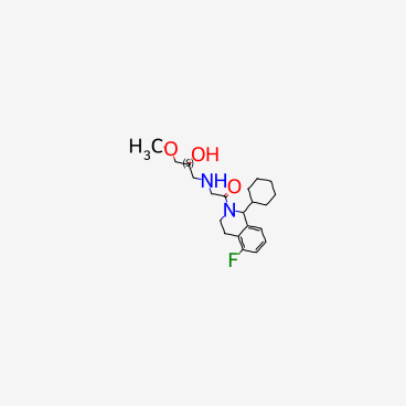 COC[C@@H](O)CNCC(=O)N1CCc2c(F)cccc2C1C1CCCCC1